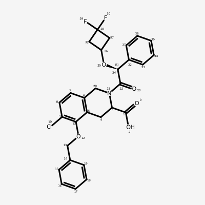 O=C(O)C1Cc2c(ccc(Cl)c2OCc2ccccc2)CN1C(=O)[C@@H](OC1CC(F)(F)C1)c1ccccc1